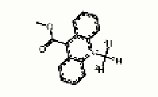 [2H]C([2H])([2H])[n+]1c2ccccc2c(C(=O)OC)c2ccccc21